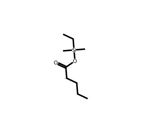 CCC[CH]C(=O)O[Si](C)(C)CC